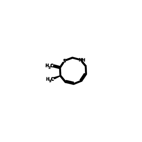 C=C1SCNC/C=C\C=C/[C@H]1C